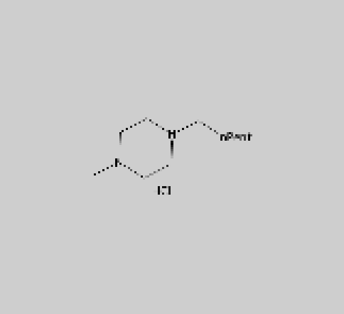 CCCCCCN1CCN(C)CC1.Cl